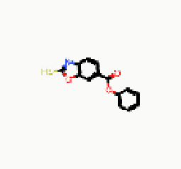 O=C(Oc1ccccc1)c1ccc2nc(S)oc2c1